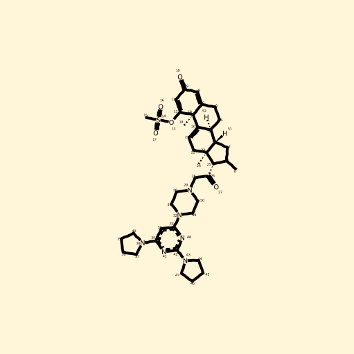 CC1C[C@H]2[C@@H]3CCC4=CC(=O)C=C(OS(C)(=O)=O)[C@]4(C)C3=CC[C@]2(C)[C@H]1C(=O)CN1CCN(c2cc(N3CCCC3)nc(N3CCCC3)n2)CC1